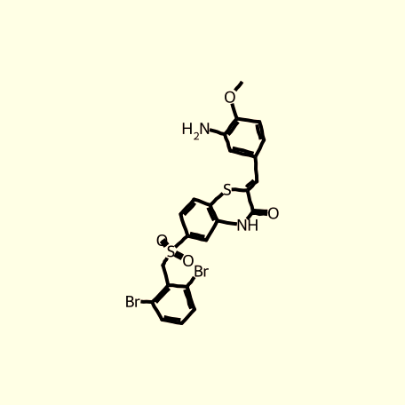 COc1ccc(/C=C2\Sc3ccc(S(=O)(=O)Cc4c(Br)cccc4Br)cc3NC2=O)cc1N